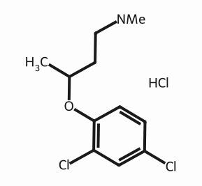 CNCCC(C)Oc1ccc(Cl)cc1Cl.Cl